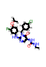 CCNC(=O)Nc1cnc(Nc2ccc(OC(C)C)c(F)c2)n(Cc2ccc(Cl)cc2)c1=O